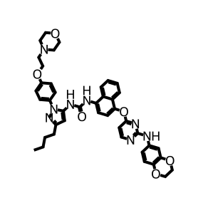 CCCCc1cc(NC(=O)Nc2ccc(Oc3ccnc(Nc4ccc5c(c4)OCCO5)n3)c3ccccc23)n(-c2ccc(OCCN3CCOCC3)cc2)n1